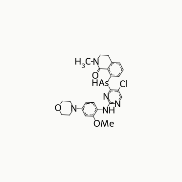 COc1cc(N2CCOCC2)ccc1Nc1ncc(Cl)c([AsH]c2cccc3c2C(=O)N(C)CC3)n1